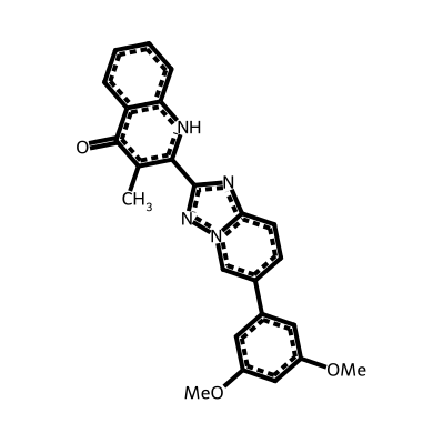 COc1cc(OC)cc(-c2ccc3nc(-c4[nH]c5ccccc5c(=O)c4C)nn3c2)c1